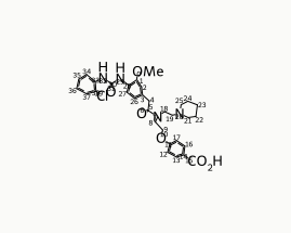 COc1cc(CC(=O)N(CCOc2ccc(C(=O)O)cc2)CCN2CCCCC2)ccc1NC(=O)Nc1ccccc1Cl